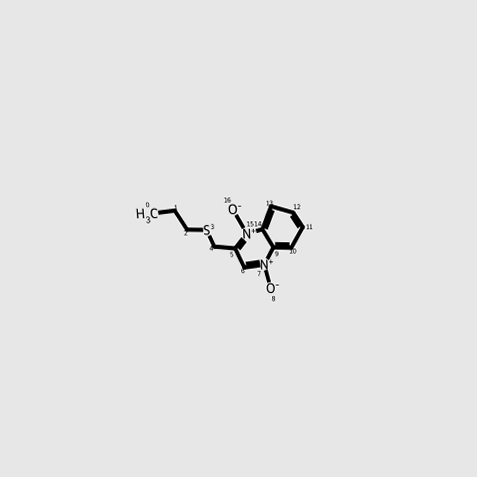 CCCSCc1c[n+]([O-])c2ccccc2[n+]1[O-]